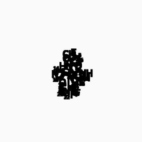 COc1c(F)cccc1Nc1c(-c2ccncc2OC[C@H]2CCN2CC(F)(F)F)[nH]c2c1C(=O)N[C@H]1C[C@@H]21